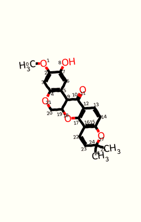 COc1cc2c(cc1O)C1C(=O)c3ccc4c(c3OC1CO2)C=CC(C)(C)O4